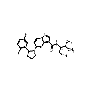 CC(C)[C@@H](CO)NC(=O)c1cnn2ccc(N3CCCC3c3cc(F)ccc3F)nc12